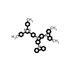 Cc1ccc(-c2cc(-c3ccc(-n4c5ccc(-n6c7ccccc7c7ccccc76)cc5c5cc(-n6c7ccc(C)cc7c7cc(C)ccc76)ccc54)cc3)nc(-c3ccc(C)cc3)n2)cc1